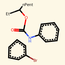 Brc1ccccc1.CCCCCC(CC)OC(=O)Nc1ccccc1